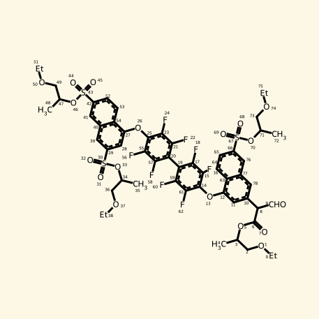 CCOCC(C)OC(=O)C(C=O)c1cc(Oc2c(F)c(F)c(-c3c(F)c(F)c(Oc4cc(S(=O)(=O)OC(C)COCC)cc5cc(S(=O)(=O)OC(C)COCC)ccc45)c(F)c3F)c(F)c2F)c2ccc(S(=O)(=O)OC(C)COCC)cc2c1